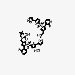 CC(C)(C)CN(Cc1cc(-c2cccnc2F)n(S(=O)(=O)c2ccc(-c3ccno3)s2)c1)C(=O)O.CNCc1cc(-c2cccnc2F)n(S(=O)(=O)c2ccc(-c3ccno3)s2)c1.Cl